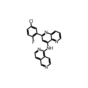 Fc1ccc(Cl)cc1-c1cc(Nc2nccc3cnccc23)c2ncccc2n1